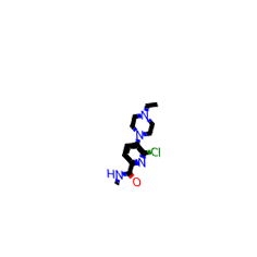 CCN1CCN(c2ccc(C(=O)NC)nc2Cl)CC1